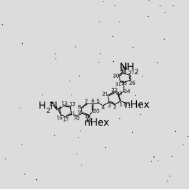 CCCCCCc1cc(CCc2ccc(Cc3ccc(N)cc3)c(CCCCCC)c2)ccc1Cc1ccc(N)cc1